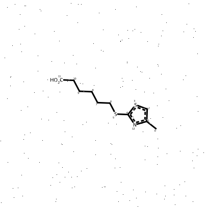 Cc1[c]sc(SCCCCCC(=O)O)n1